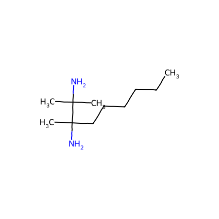 CCCCCCC(C)(N)C(C)(C)N